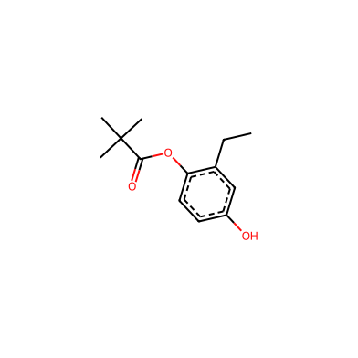 CCc1cc(O)ccc1OC(=O)C(C)(C)C